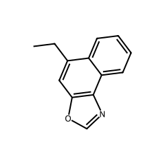 CCc1cc2ocnc2c2ccccc12